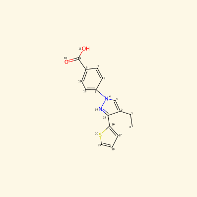 CCc1cn(-c2ccc(C(=O)O)cc2)nc1-c1cccs1